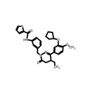 CCC1CC(=O)N(Cc2cccc(NC(=O)c3cccs3)c2)N=C1c1ccc(OC)c(OC2CCCC2)c1